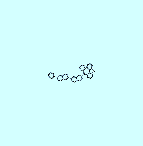 c1ccc(-c2ccc3cc(-c4ccc5ccc(N(c6ccccc6)c6cccc7sc8ccccc8c67)cc5c4)ccc3c2)cc1